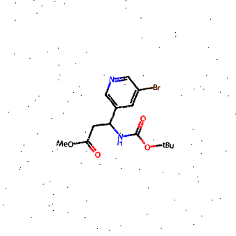 COC(=O)CC(NC(=O)OC(C)(C)C)c1cncc(Br)c1